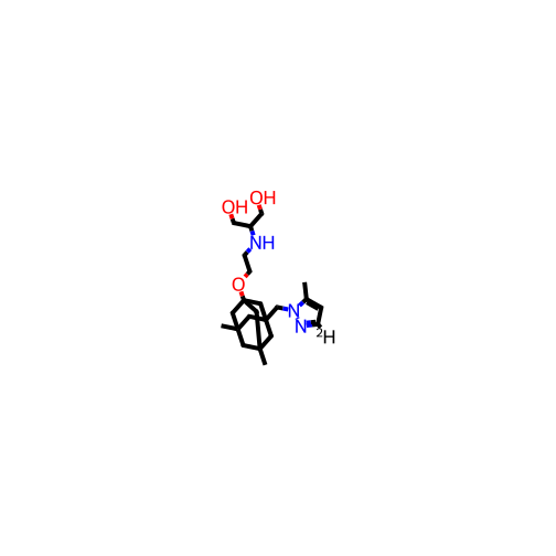 [2H]c1cc(C)n(CC23CC4(C)CC(C)(C2)CC(OCCNC(CO)CO)(C4)C3)n1